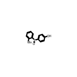 CC(C)(C)c1ccccc1[P](=O)c1ccc(O)cc1